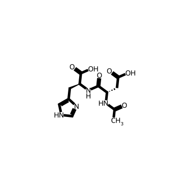 CC(=O)N[C@@H](CC(=O)O)C(=O)N[C@@H](Cc1c[nH]cn1)C(=O)O